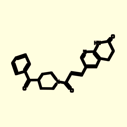 O=C1CCc2cc(/C=C/C(=O)N3CCC(C(=O)c4ccccc4)CC3)cnc2N1